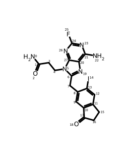 NC(=O)CCn1c(Cc2cc3c(cc2I)CCC3=O)nc2c(N)nc(F)nc21